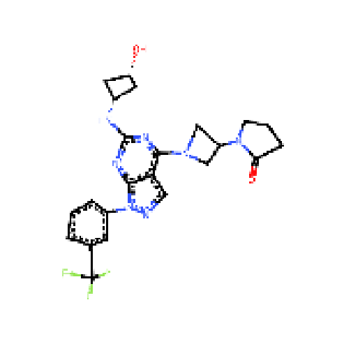 O=C1CCCN1C1CN(c2nc(N[C@H]3C[C@@H](O)C3)nc3c2cnn3-c2cccc(C(F)(F)F)c2)C1